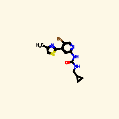 Cc1csc(-c2cc(NC(=O)NCC3CC3)ncc2Br)n1